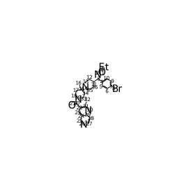 CCO/N=C(\c1ccc(Br)cc1)C1CCN(C2(C)CCN(C(=O)c3cc4cnccc4nc3C)CC2)CC1